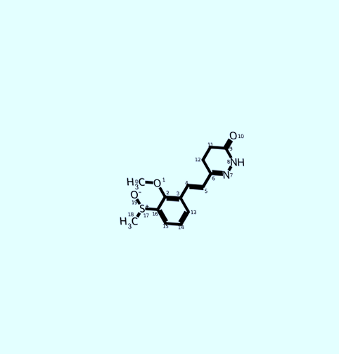 COc1c(C=CC2=NNC(=O)CC2)cccc1[S+](C)[O-]